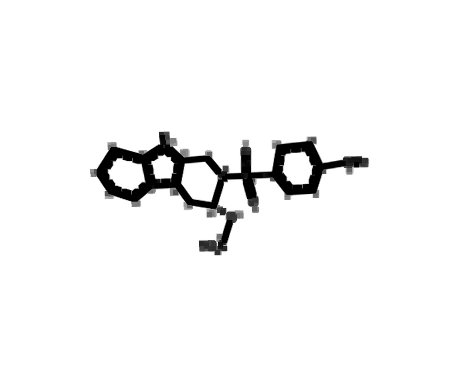 COc1ccc(S(=O)(=O)N2Cc3[nH]c4ccccc4c3C[C@H]2OC(=O)O)cc1